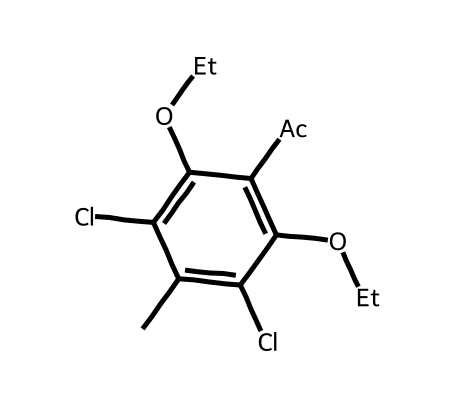 CCOc1c(Cl)c(C)c(Cl)c(OCC)c1C(C)=O